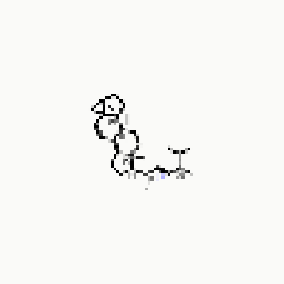 CC(C)[C@@H](C)/C=C/[C@@H](C)[C@H]1CCC2=C3C=CC45CC4CC[C@]5(C)[C@H]3CC[C@@]21C